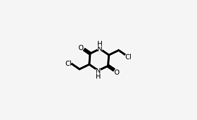 O=C1NC(CCl)C(=O)NC1CCl